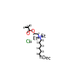 C=C(C)C(=O)OCC[N+](CC)(CC)CCCCCCCCCCCCCCCC.[Cl-]